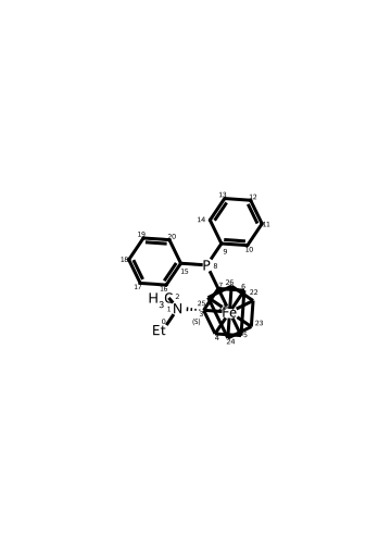 CCN(C)[C@]12[CH]3[CH]4[CH]5[C]1(P(c1ccccc1)c1ccccc1)[Fe]45321678[CH]2[CH]1[CH]6[CH]7[CH]28